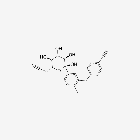 C#Cc1ccc(Cc2cc([C@]3(O)O[C@H](CC#N)[C@@H](O)[C@H](O)[C@H]3O)ccc2C)cc1